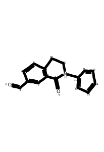 O=Cc1ccc2c(c1)C(=O)N(c1ccccc1)CC2